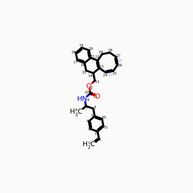 C=Cc1ccc(CC(C)NC(=O)OCC2Cc3ccccc3C3=C2/C=C\C=C/CC3)cc1